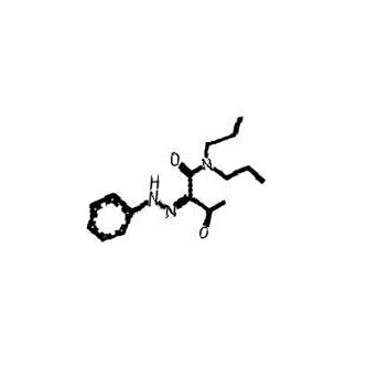 CCCN(CCC)C(=O)C(=NNc1ccccc1)C(C)=O